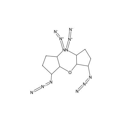 [N-]=[N+]=NC1CCC(N=[N+]=[N-])C1OC1C(N=[N+]=[N-])CCC1N=[N+]=[N-]